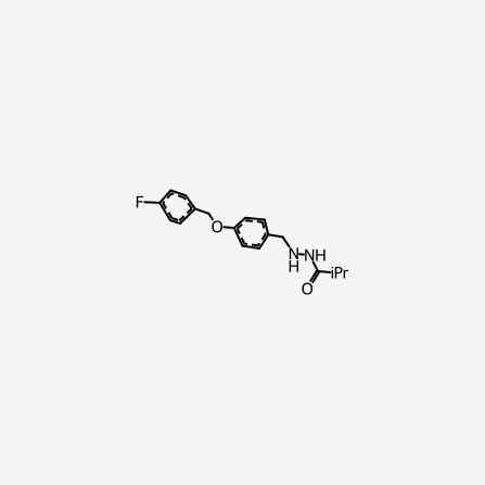 CC(C)C(=O)NNCc1ccc(OCc2ccc(F)cc2)cc1